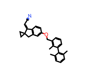 Cc1cccc(C)c1-c1cccc(COc2ccc3c(c2)CC2(CC2)C3=CC#N)c1C